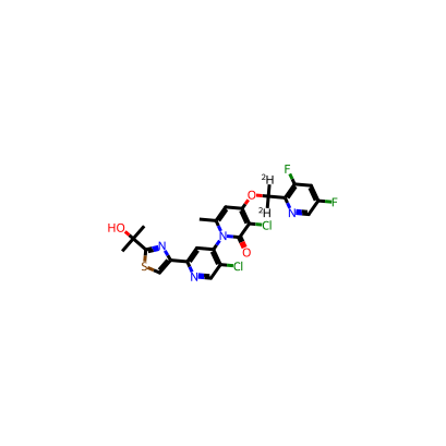 [2H]C([2H])(Oc1cc(C)n(-c2cc(-c3csc(C(C)(C)O)n3)ncc2Cl)c(=O)c1Cl)c1ncc(F)cc1F